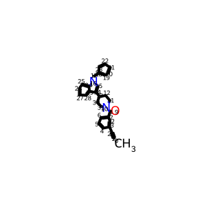 CC#Cc1cccc(C(=O)N2CCC(c3cn(Cc4ccccc4)c4ccccc34)CC2)c1